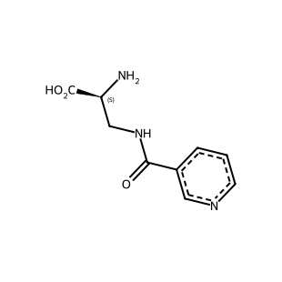 N[C@@H](CNC(=O)c1cccnc1)C(=O)O